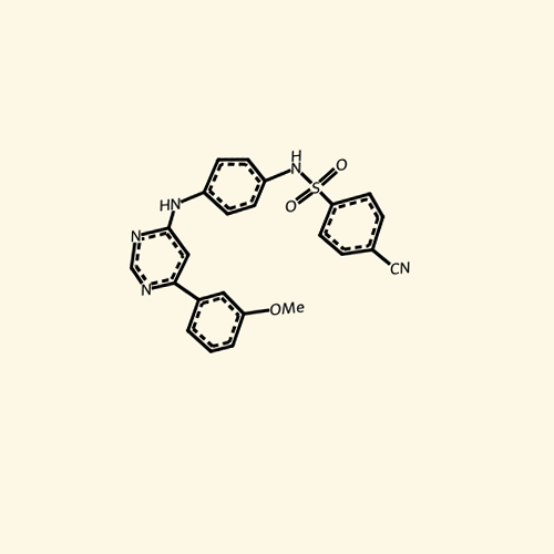 COc1cccc(-c2cc(Nc3ccc(NS(=O)(=O)c4ccc(C#N)cc4)cc3)ncn2)c1